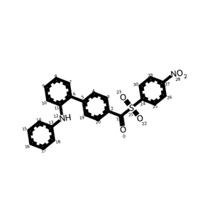 O=C(c1ccc(-c2ccccc2Nc2ccccc2)cc1)S(=O)(=O)c1ccc([N+](=O)[O-])cc1